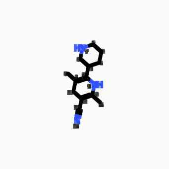 CC1=C(C2CCCNC2)NC(C)=C(C#N)C1